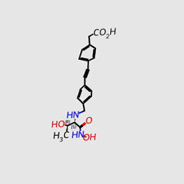 C[C@@H](O)[C@H](NCc1ccc(C#Cc2ccc(CC(=O)O)cc2)cc1)C(=O)NO